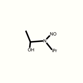 CC(C)N(N=O)C(C)O